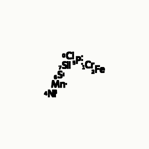 [C].[Cr].[Fe].[Mn].[Ni].[P].[S].[Si]